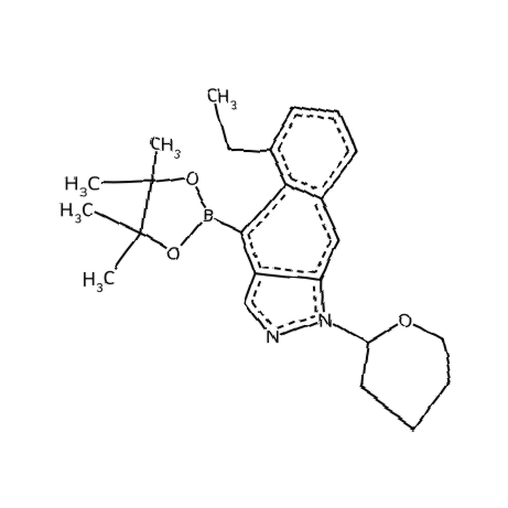 CCc1cccc2cc3c(cnn3C3CCCCO3)c(B3OC(C)(C)C(C)(C)O3)c12